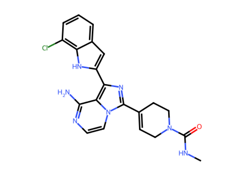 CNC(=O)N1CC=C(c2nc(-c3cc4cccc(Cl)c4[nH]3)c3c(N)nccn23)CC1